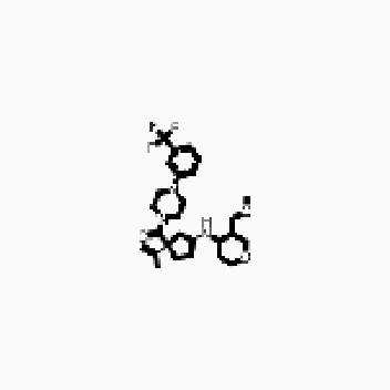 C=C(C)[C@]1(C(=O)N2CCN(c3cccc(C(F)(F)F)c3)CC2)CC[C@@H](NC2CCOCC2COC)C1